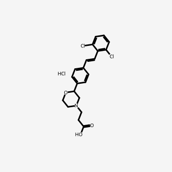 Cl.O=C(O)CCN1CCOC(c2ccc(C=Cc3c(Cl)cccc3Cl)cc2)C1